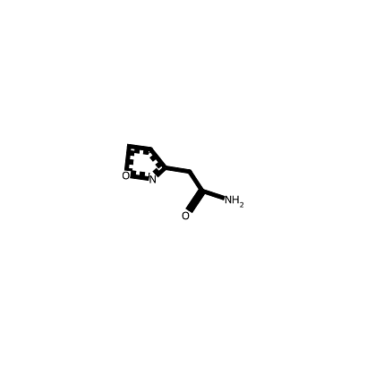 NC(=O)Cc1ccon1